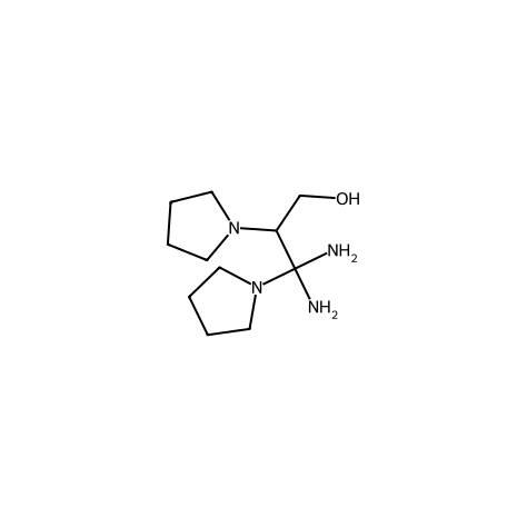 NC(N)(C(CO)N1CCCC1)N1CCCC1